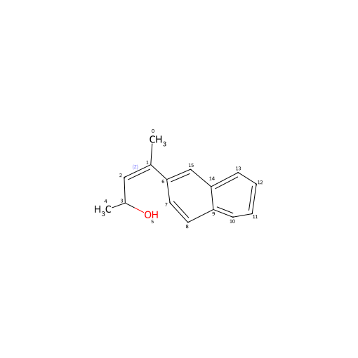 C/C(=C/C(C)O)c1ccc2ccccc2c1